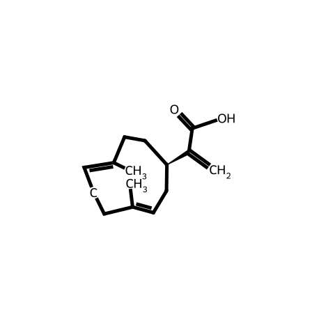 C=C(C(=O)O)[C@H]1C/C=C(\C)CC/C=C(\C)CC1